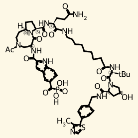 CC(=O)N1CC[C@H]2CC[C@@H](C(=O)N[C@@H](CCC(N)=O)C(=O)NCCCCCCCCC(=O)N[C@H](C(=O)N3C[C@H](O)C[C@H]3C(=O)NCc3ccc(-c4scnc4C)cc3)C(C)(C)C)N2C(=O)[C@@H](NC(=O)c2cc3cc(C(=O)P(=O)(O)O)ccc3[nH]2)C1